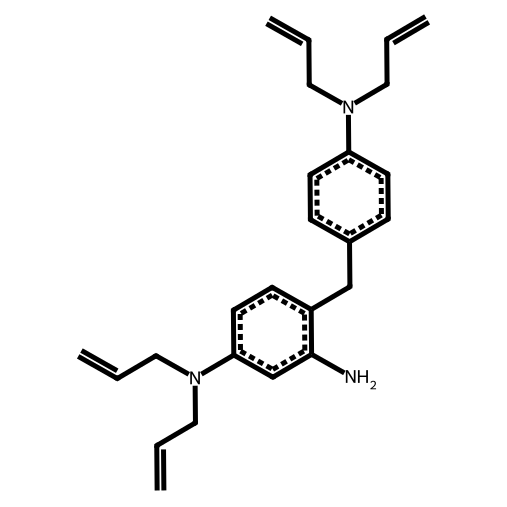 C=CCN(CC=C)c1ccc(Cc2ccc(N(CC=C)CC=C)cc2N)cc1